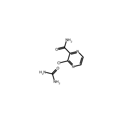 NC(=O)c1nccnc1Cl.NC(N)=O